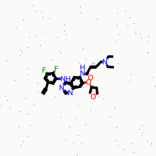 C#Cc1cc(F)c(F)c(Nc2ncnc3cc(O[C@H]4CCOC4)c(NC(=O)/C=C/CN(CC)CC)cc23)c1